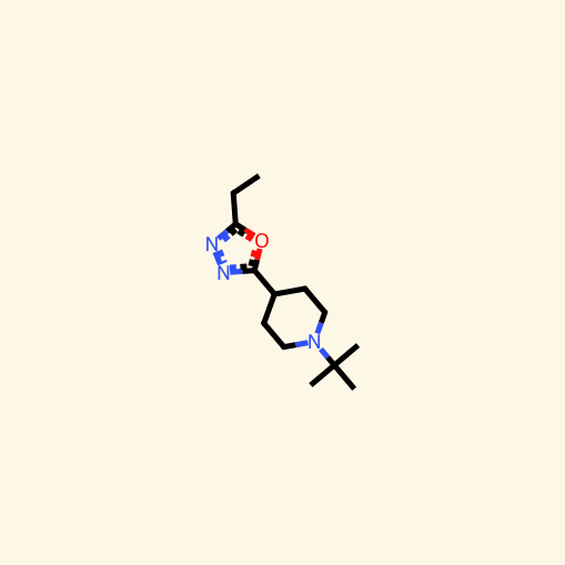 CCc1nnc(C2CCN(C(C)(C)C)CC2)o1